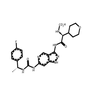 C[C@@H](NC(=O)Nc1cc2[nH]nc(NC(=O)[C@@H](NC(=O)O)C3CCOCC3)c2cn1)c1ccc(F)cc1